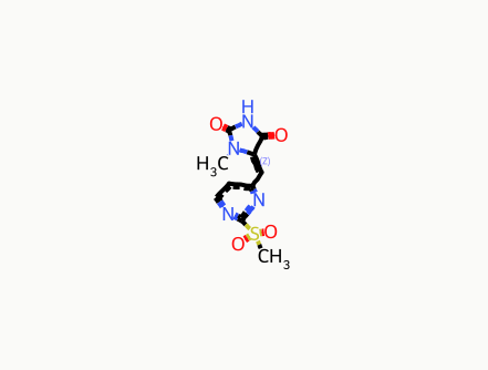 CN1C(=O)NC(=O)/C1=C/c1ccnc(S(C)(=O)=O)n1